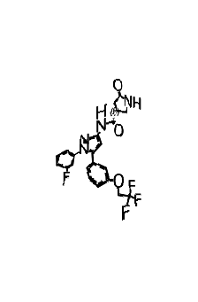 O=C1C[C@@H](C(=O)Nc2cc(-c3cccc(OCC(F)(F)F)c3)n(-c3cccc(F)c3)n2)CN1